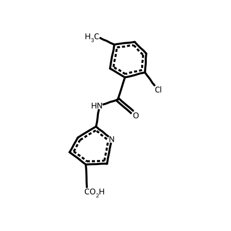 Cc1ccc(Cl)c(C(=O)Nc2ccc(C(=O)O)cn2)c1